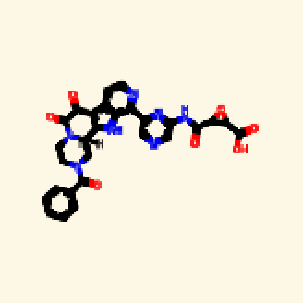 O=C1C(=O)N2CCN(C(=O)c3ccccc3)C[C@H]2c2[nH]c3c(-c4cncc(NC(=O)C5OC5C(=O)O)n4)nccc3c21